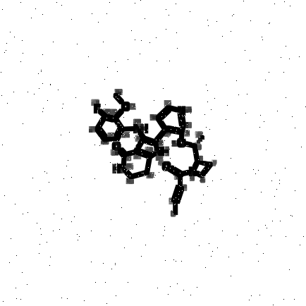 CC#CC(=O)N1CC[C@@H]1[C@@H](C)Oc1cnccc1-c1[nH]c2c(c1Nc1cccc(F)c1OC)C(=O)NCC2